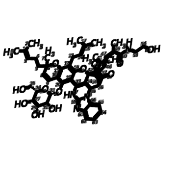 CC(C)=CCCC1(C)C=Cc2c(c(CC=C(C)C)c3c(c2O[C@H]2O[C@@H](CO)[C@H](O)[C@@H](O)[C@@H]2O)C2=C4C(C5CC(C(C)C)C4(O3)C(O)(C/C=C(/C)C(=O)NCCO)C5=O)n3c(nc4ccccc43)N2)O1